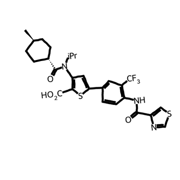 CC(C)N(c1cc(-c2ccc(NC(=O)c3cscn3)c(C(F)(F)F)c2)sc1C(=O)O)C(=O)[C@H]1CC[C@H](C)CC1